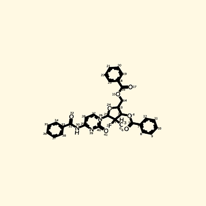 CC1(F)C(OC(=O)c2ccccc2)C(COC(=O)c2ccccc2)OC1n1ccc(NC(=O)c2ccccc2)nc1=O